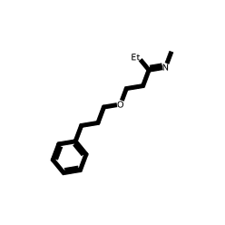 CC/C(CCOCCCc1ccccc1)=N\C